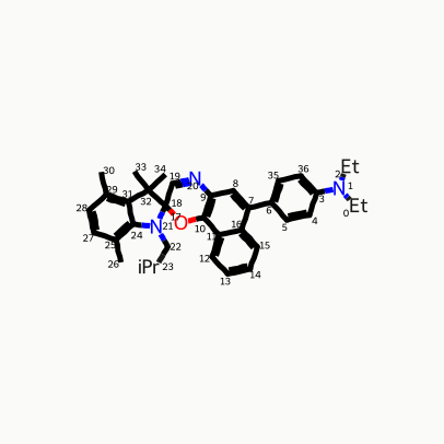 CCN(CC)c1ccc(-c2cc3c(c4ccccc24)OC2(C=N3)N(CC(C)C)c3c(C)ccc(C)c3C2(C)C)cc1